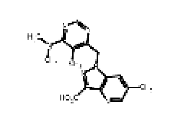 Cc1cnc2c(C(=O)O)nn(Cc3ncnc(N(C)C)c3C)c2c1